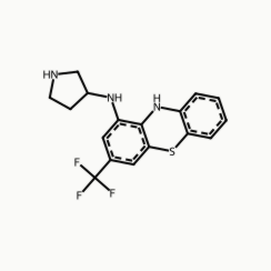 FC(F)(F)c1cc(NC2CCNC2)c2c(c1)Sc1ccccc1N2